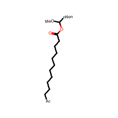 CCCCCCCCCC(OC)OC(=O)CCCCCCCCCCC(C)=O